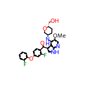 COc1cnc2[nH]cc(C(=O)c3ccc(Oc4ccccc4F)cc3F)c2c1N[C@@H]1CC[C@@H](CO)OC1